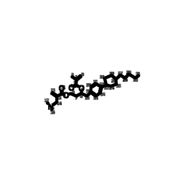 C=C(C)C(=O)OC(CCOC(=O)C(=C)CN(C)C)Cc1ccc(C2CCC(CCCCC)CC2)cc1